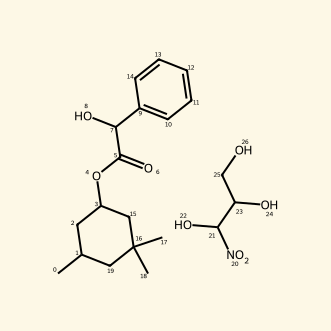 CC1CC(OC(=O)C(O)c2ccccc2)CC(C)(C)C1.O=[N+]([O-])C(O)C(O)CO